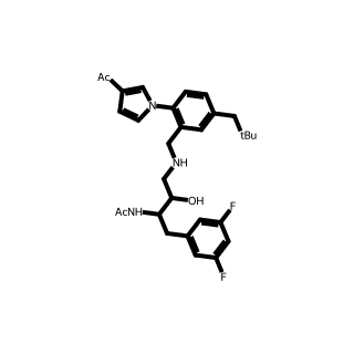 CC(=O)NC(Cc1cc(F)cc(F)c1)C(O)CNCc1cc(CC(C)(C)C)ccc1-n1ccc(C(C)=O)c1